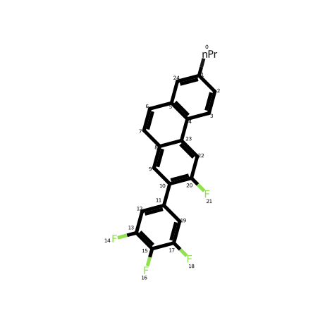 CCCc1ccc2c(ccc3cc(-c4cc(F)c(F)c(F)c4)c(F)cc32)c1